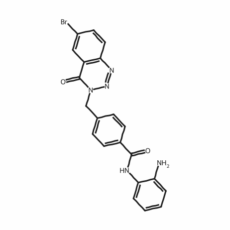 Nc1ccccc1NC(=O)c1ccc(Cn2nnc3ccc(Br)cc3c2=O)cc1